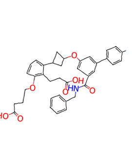 O=C(O)CCCOc1cccc(C2CC(Oc3cc(C(=O)NCc4ccccc4)cc(-c4ccc(F)cc4)c3)C2)c1CCC(=O)O